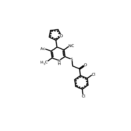 [C-]#[N+]C1=C(SCC(=O)c2ccc(Cl)cc2Cl)NC(C)=C(C(C)=O)C1c1ccco1